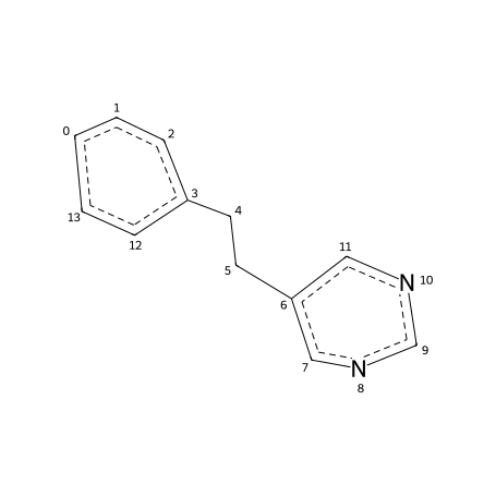 c1ccc(CCc2cncnc2)cc1